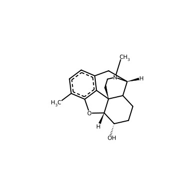 Cc1ccc2c3c1O[C@H]1[C@@H](O)CCC4[C@@H](C2)N(C)CC[C@@]341